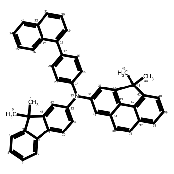 CC1(C)c2ccccc2-c2ccc(N(c3ccc(-c4cccc5ccccc45)cc3)c3cc4c5c(ccc6cccc(c65)C4(C)C)c3)cc21